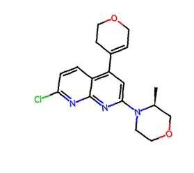 C[C@H]1COCCN1c1cc(C2=CCOCC2)c2ccc(Cl)nc2n1